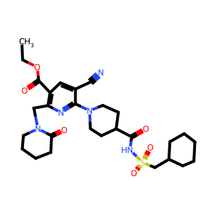 CCOC(=O)c1cc(C#N)c(N2CCC(C(=O)NS(=O)(=O)CC3CCCCC3)CC2)nc1CN1CCCCC1=O